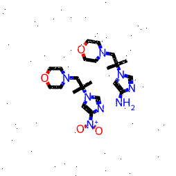 CC(C)(CN1CCOCC1)n1cnc(N)c1.CC(C)(CN1CCOCC1)n1cnc([N+](=O)[O-])c1